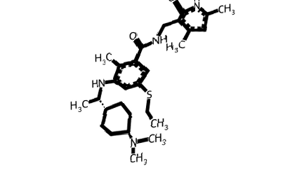 CCSc1cc(NC(C)[C@H]2CC[C@H](N(C)C)CC2)c(C)c(C(=O)NCc2c(C)cc(C)[nH]c2=O)c1